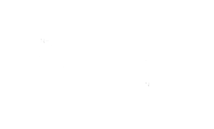 NC1CCCC1OCc1ccc(-c2nc3ccccc3s2)cc1